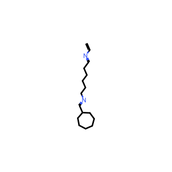 C=C/N=C/CCCCC/N=C/C1CCCCCC1